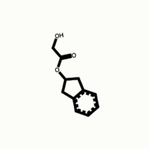 O=C(CO)OC1Cc2ccccc2C1